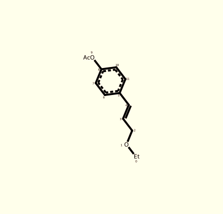 CCOCC=Cc1ccc(OC(C)=O)cc1